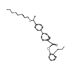 CCCCCCCCOC(C)c1ccc(-c2ccc(C(=O)Oc3ccccc3CCC)cc2)cc1